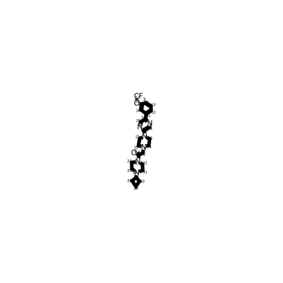 O=C(CN1CCN(c2cnc(-c3cccc(OC(F)(F)F)c3)cn2)CC1)N1CCN(C2CCC2)CC1